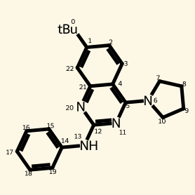 CC(C)(C)c1ccc2c(N3CCCC3)nc(Nc3ccccc3)nc2c1